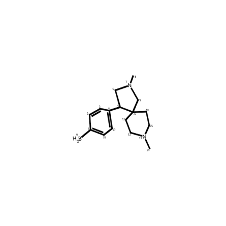 Bc1ccc(C2CN(C)CC23CCN(C)CC3)cc1